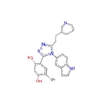 CC(C)c1cc(-c2nnc(CCc3cccnc3)n2-c2ccc3[nH]ccc3c2)c(O)cc1O